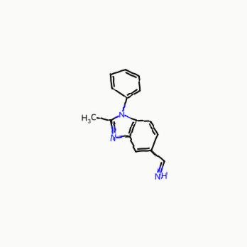 Cc1nc2cc(C=N)ccc2n1-c1ccccc1